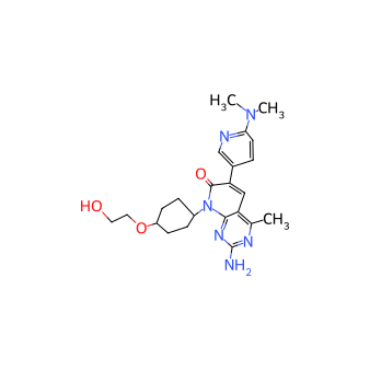 Cc1nc(N)nc2c1cc(-c1ccc(N(C)C)nc1)c(=O)n2C1CCC(OCCO)CC1